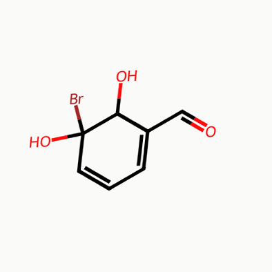 O=CC1=CC=CC(O)(Br)C1O